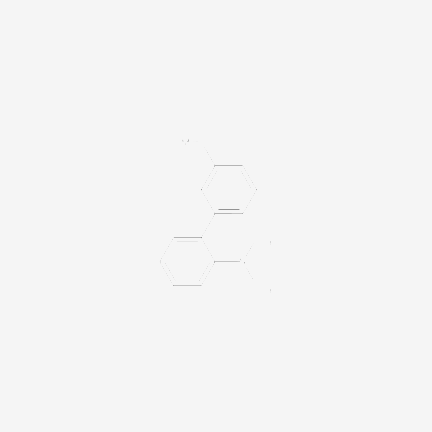 COc1cccc(-c2cc[c]cc2N(C)C)c1